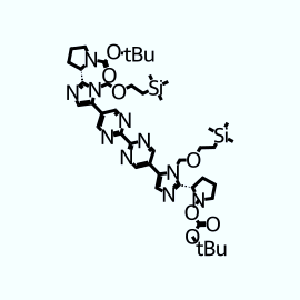 CC(C)(C)OC(=O)ON1CCC[C@H]1c1ncc(-c2cnc(-c3ncc(-c4cnc([C@@H]5CCCN5C(=O)OC(C)(C)C)n4COCC[Si](C)(C)C)cn3)nc2)n1COCC[Si](C)(C)C